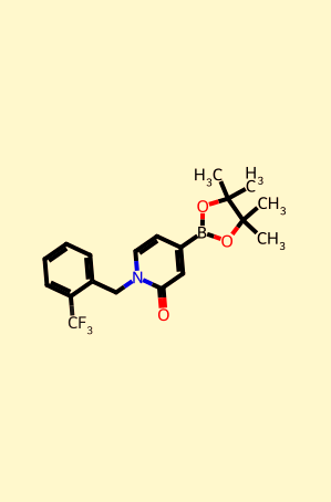 CC1(C)OB(c2ccn(Cc3ccccc3C(F)(F)F)c(=O)c2)OC1(C)C